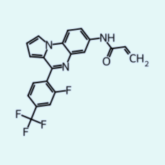 C=CC(=O)Nc1ccc2c(c1)nc(-c1ccc(C(F)(F)F)cc1F)c1cccn12